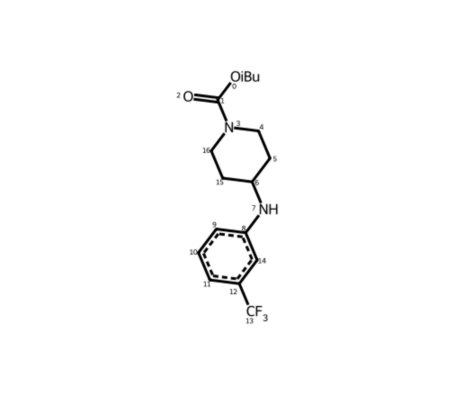 CC(C)COC(=O)N1CCC(Nc2cccc(C(F)(F)F)c2)CC1